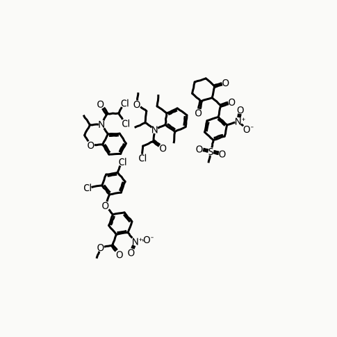 CC1COc2ccccc2N1C(=O)C(Cl)Cl.CCc1cccc(C)c1N(C(=O)CCl)C(C)COC.COC(=O)c1cc(Oc2ccc(Cl)cc2Cl)ccc1[N+](=O)[O-].CS(=O)(=O)c1ccc(C(=O)C2C(=O)CCCC2=O)c([N+](=O)[O-])c1